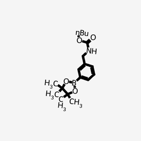 CCCCOC(=O)NCc1cccc(B2OC(C)(C)C(C)(C)O2)c1